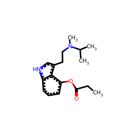 CCC(=O)Oc1cccc2[nH]cc(CCN(C)C(C)C)c12